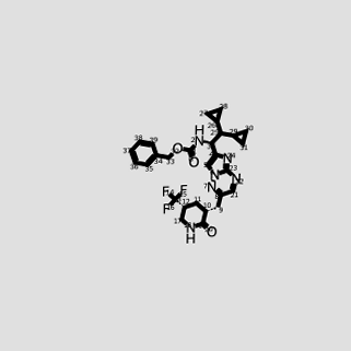 O=C(N[C@H](c1cn2nc(C[C@H]3C[C@@H](C(F)(F)F)CNC3=O)cnc2n1)C(C1CC1)C1CC1)OCc1ccccc1